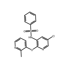 Cc1ncccc1Oc1ncc(Cl)cc1NS(=O)(=O)c1ccccc1